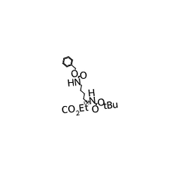 CCOC(=O)[C@H](CCCCNC(=O)OCc1ccccc1)NC(=O)OC(C)(C)C